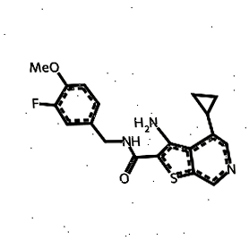 COc1ccc(CNC(=O)c2sc3cncc(C4CC4)c3c2N)cc1F